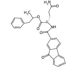 CC(Cc1ccccc1)OC(=O)[C@H](CCC(N)=O)NC(=O)c1ccc2c(c1)C(=O)c1ccccc1-2